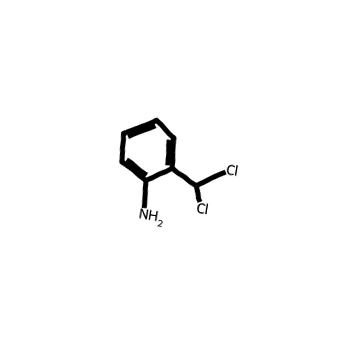 Nc1ccccc1C(Cl)Cl